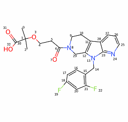 CC(C)(OCCC(=O)N1CCc2c(n(Cc3ccc(F)cc3F)c3ncccc23)C1)C(=O)O